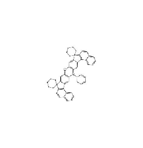 C1=CCC(N2c3cc4c(cc3Oc3cc5c(cc32)-c2c(ccc3ccccc23)C52CCCCC2)C2(CCCCC2)c2ccc3ccccc3c2-4)C=C1